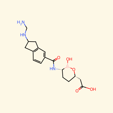 NCNC1Cc2ccc(C(=O)N[C@H]3CC[C@@H](CC(=O)O)OB3O)cc2C1